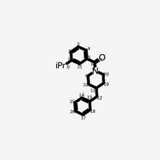 CC(C)c1cccc(C(=O)N2CCC(Cc3ccccc3)CC2)c1